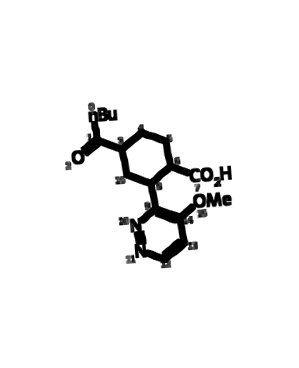 CCCCC(=O)C1CCC(C(=O)O)C(c2nnccc2OC)C1